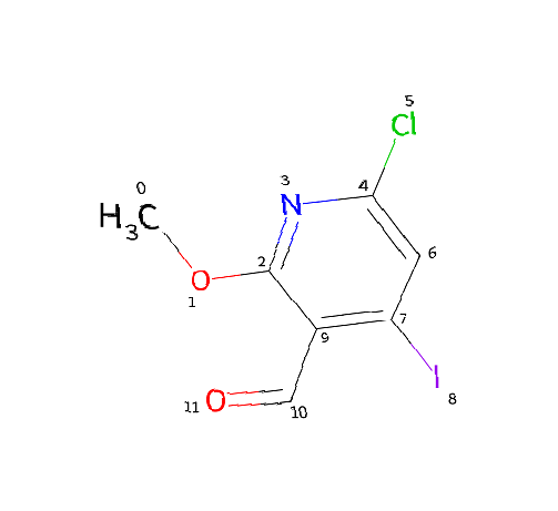 COc1nc(Cl)cc(I)c1C=O